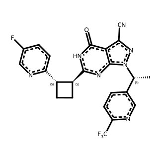 C[C@H](c1ccc(C(F)(F)F)nc1)n1nc(C#N)c2c(=O)[nH]c([C@H]3CC[C@@H]3c3ccc(F)cn3)nc21